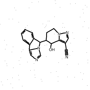 N#Cc1cnn2c1C(O)C(C1c3ccccc3-c3cncn31)CC2